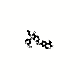 C=CCn1c(=O)c2cnc(Nc3ccc4c(c3)CNC(=O)C43CC3)nc2n1-c1ccnc(C(C)(C)C)c1